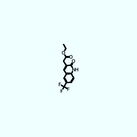 CCOC(=O)Cc1cc2cc(C(F)(F)F)ccc2[nH]c1=O